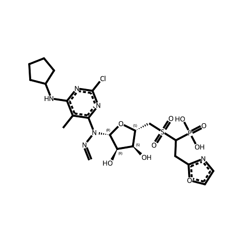 C=NN(c1nc(Cl)nc(NC2CCCC2)c1C)[C@@H]1O[C@H](CS(=O)(=O)C(Cc2ncco2)P(=O)(O)O)[C@@H](O)[C@H]1O